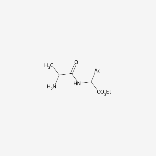 CCOC(=O)C(NC(=O)C(C)N)C(C)=O